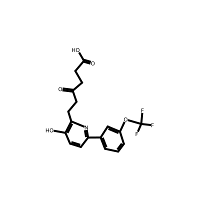 O=C(O)CCC(=O)CCc1nc(-c2cccc(OC(F)(F)F)c2)ccc1O